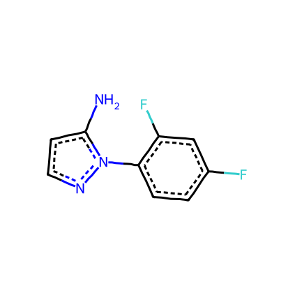 Nc1ccnn1-c1ccc(F)cc1F